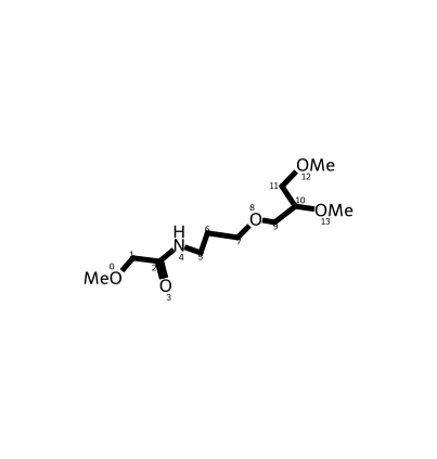 COCC(=O)NCCCOCC(COC)OC